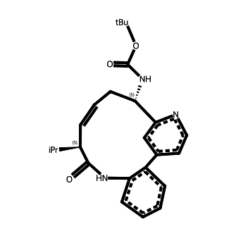 CC(C)[C@H]1C=CC[C@H](NC(=O)OC(C)(C)C)c2cc(ccn2)-c2ccccc2NC1=O